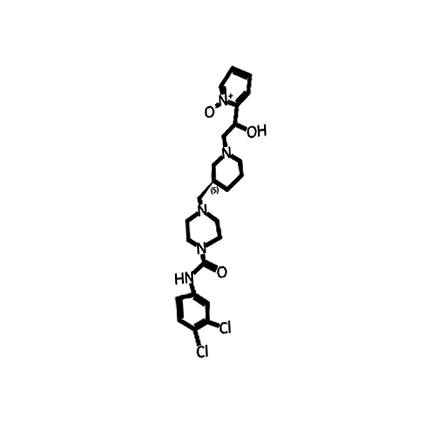 O=C(Nc1ccc(Cl)c(Cl)c1)N1CCN(C[C@@H]2CCCN(CC(O)c3cccc[n+]3[O-])C2)CC1